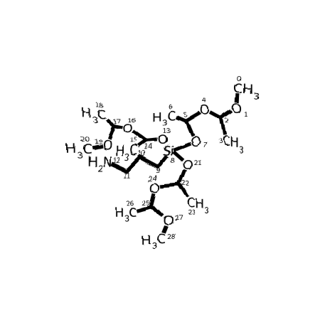 COC(C)OC(C)O[Si](CCCN)(OC(C)OC(C)OC)OC(C)OC(C)OC